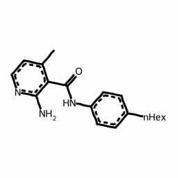 CCCCCCc1ccc(NC(=O)c2c(C)ccnc2N)cc1